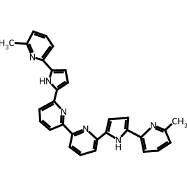 Cc1cccc(-c2ccc(-c3cccc(-c4cccc(-c5ccc(-c6cccc(C)n6)[nH]5)n4)n3)[nH]2)n1